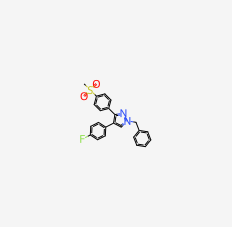 CS(=O)(=O)c1ccc(-c2nn(Cc3ccccc3)cc2-c2ccc(F)cc2)cc1